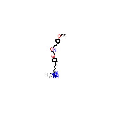 Cn1nnnc1CCCCc1ccc(OCc2coc(C=Cc3ccc(OC(F)(F)F)cc3)n2)cc1